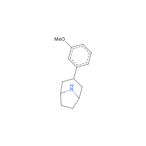 COc1cccc(C2CC3CCC(C2)N3)c1